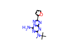 CN(c1nc(N)n2nc(-c3ccco3)nc2n1)C(C)(C)C